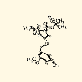 COc1cc(CO[C@@H]2C[C@@H](C(=S)N(C)C)N(C(=O)OC(C)(C)C)C2)cc(OC)c1